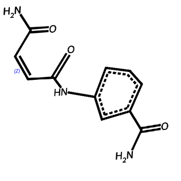 NC(=O)/C=C\C(=O)Nc1cccc(C(N)=O)c1